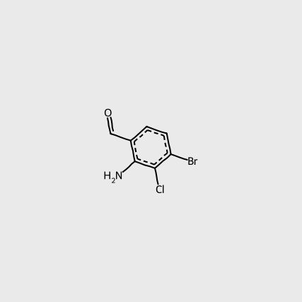 Nc1c(C=O)ccc(Br)c1Cl